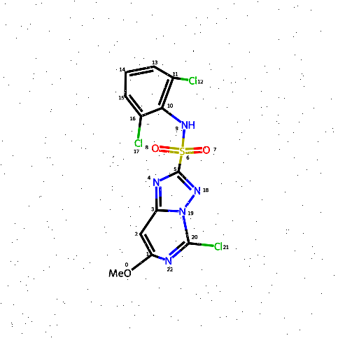 COc1cc2nc(S(=O)(=O)Nc3c(Cl)cccc3Cl)nn2c(Cl)n1